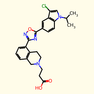 CC(C)n1cc(Cl)c2cc(-c3nc(-c4cccc5c4CCN(CCC(=O)O)C5)no3)ccc21